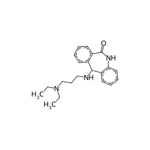 CCN(CC)CCCNC1c2ccccc2NC(=O)c2ccccc21